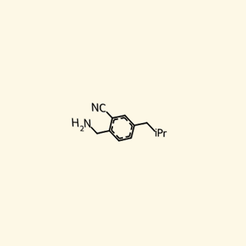 CC(C)Cc1ccc(CN)c(C#N)c1